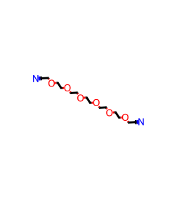 N#CCOCCOCCOCCOCCOCCOCC#N